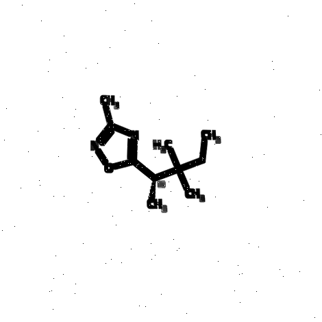 CCC(C)(C)[C@H](C)c1nc(C)no1